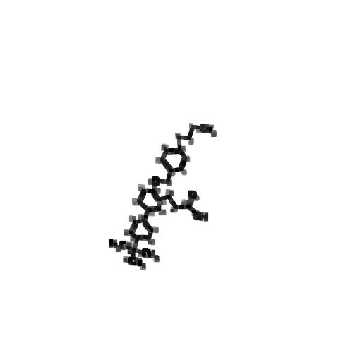 CCCCc1ccc(COc2ccc(-c3ccc(C(C)(C)C)cc3)cc2CCC(=O)O)cc1